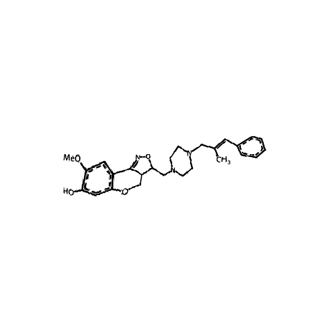 COc1cc2c(cc1O)OCC1C2=NOC1CN1CCN(C/C(C)=C/c2ccccc2)CC1